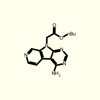 CCCCOC(=O)Cn1c2cnccc2c2c(N)ncnc21